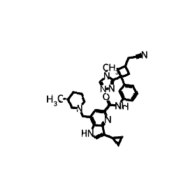 C[C@H]1CCCN(Cc2cc(C(=O)Nc3cccc(C4(c5nncn5C)CC(CC#N)C4)c3)nc3c(C4CC4)c[nH]c23)C1